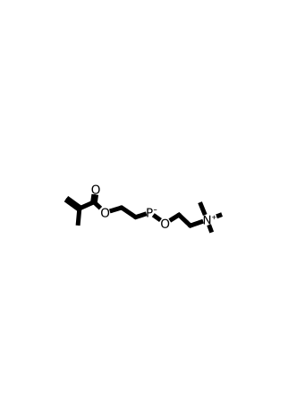 C=C(C)C(=O)OCC[P-]OCC[N+](C)(C)C